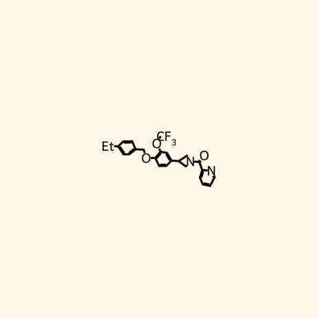 CCc1ccc(COc2ccc(C3CN(C(=O)c4ccccn4)C3)cc2OC(F)(F)F)cc1